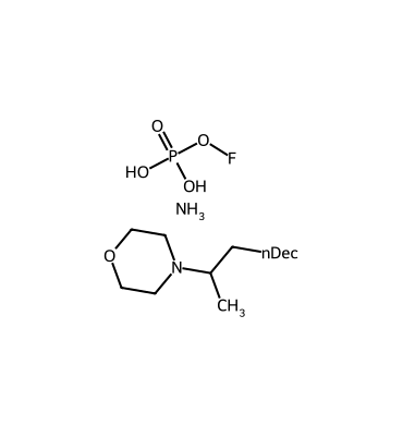 CCCCCCCCCCCC(C)N1CCOCC1.N.O=P(O)(O)OF